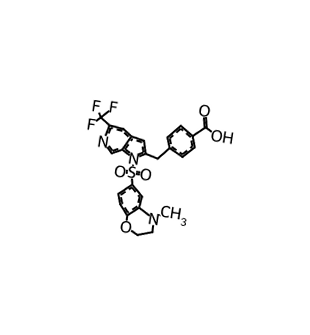 CN1CCOc2ccc(S(=O)(=O)n3c(Cc4ccc(C(=O)O)cc4)cc4cc(C(F)(F)F)ncc43)cc21